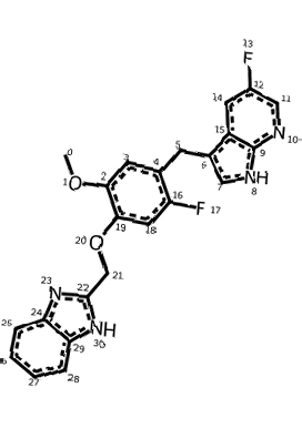 COc1cc(Cc2c[nH]c3ncc(F)cc23)c(F)cc1OCc1nc2ccccc2[nH]1